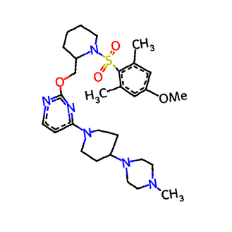 COc1cc(C)c(S(=O)(=O)N2CCCCC2COc2nccc(N3CCC(N4CCN(C)CC4)CC3)n2)c(C)c1